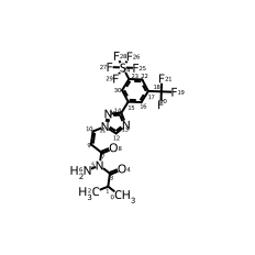 CC(C)C(=O)N(N)C(=O)/C=C\n1cnc(-c2cc(C(F)(F)F)cc(S(F)(F)(F)(F)F)c2)n1